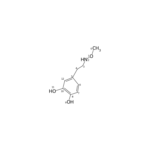 CONCCc1ccc(O)c(O)c1